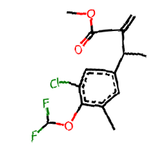 C=C(C(=O)OC)C(C)c1cc(C)c(OC(F)F)c(Cl)c1